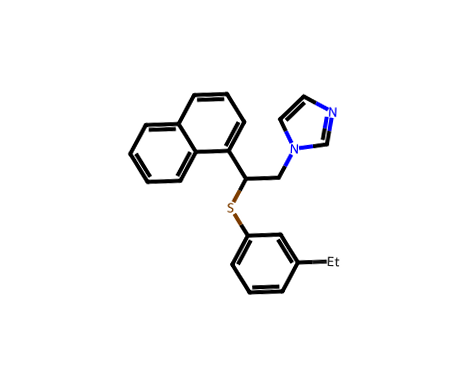 CCc1cccc(SC(Cn2ccnc2)c2cccc3ccccc23)c1